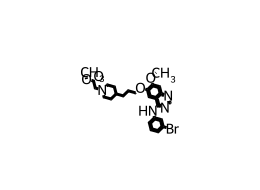 COC(=O)CN1CCC(CCCOc2cc3c(Nc4cccc(Br)c4)ncnc3cc2OC)CC1